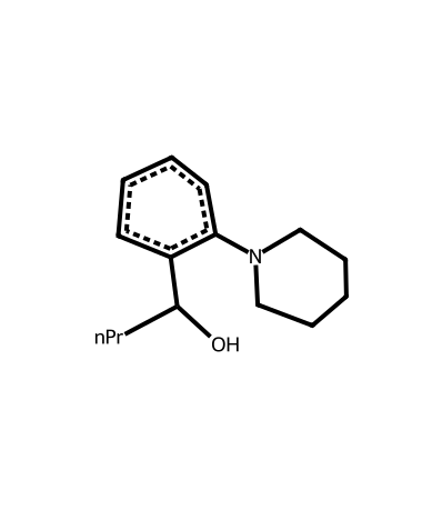 CCCC(O)c1ccccc1N1CCCCC1